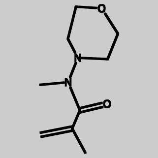 C=C(C)C(=O)N(C)N1CCOCC1